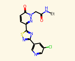 CCNC(=O)Cn1nc(-c2nc(-c3cncc(Cl)c3)ns2)ccc1=O